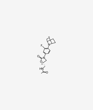 CC(=O)NC[C@H]1CN(c2ccc(N3C4CCC45SCC35)c(F)c2)C(=O)O1